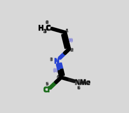 C/C=C\N=C(\Cl)NC